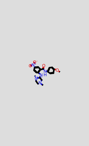 COc1ccc(NC(=O)c2cc([N+](=O)[O-])ccc2/N=C2/CN(C)CCN2C)cc1